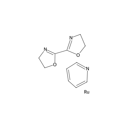 C1COC(C2=NCCO2)=N1.[Ru].c1ccncc1